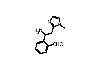 Cn1ccnc1CC(N)c1ccccc1[C]=O